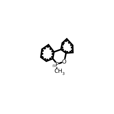 C[P@@]1Oc2ccccc2-c2ccccc21